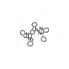 c1ccc(-c2nc(-n3c4ccccc4c4cc5c(cc43)c3cc4ccccc4n3c3cc4ccccc4n53)nc3ccccc23)cc1